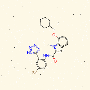 Cn1c(C(=O)Nc2ccc(Br)cc2-c2nnn[nH]2)cc2cccc(OCC3CCCCC3)c21